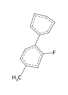 Cc1ccc(-c2ccccc2)c(F)c1